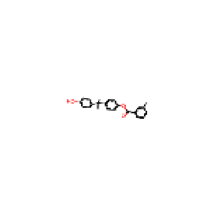 Cc1cccc(C(=O)Oc2ccc(C(C)(C)c3ccc(O)cc3)cc2)c1